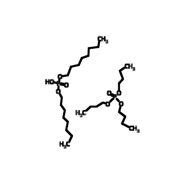 CCCCCCCCOP(=O)(O)OCCCCCCCC.CCCCOP(=O)(OCCCC)OCCCC